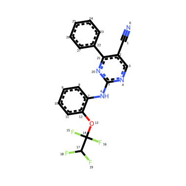 N#Cc1cnc(Nc2ccccc2OC(F)(F)C(F)F)nc1-c1ccccc1